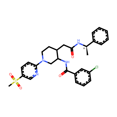 C[C@@H](NC(=O)CC1CCN(c2ccc(S(C)(=O)=O)cn2)CC1NC(=O)c1cccc(Cl)c1)c1ccccc1